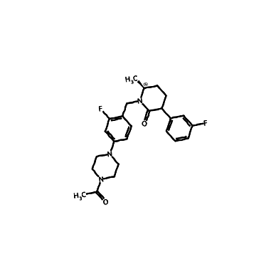 CC(=O)N1CCN(c2ccc(CN3C(=O)C(c4cccc(F)c4)CC[C@@H]3C)c(F)c2)CC1